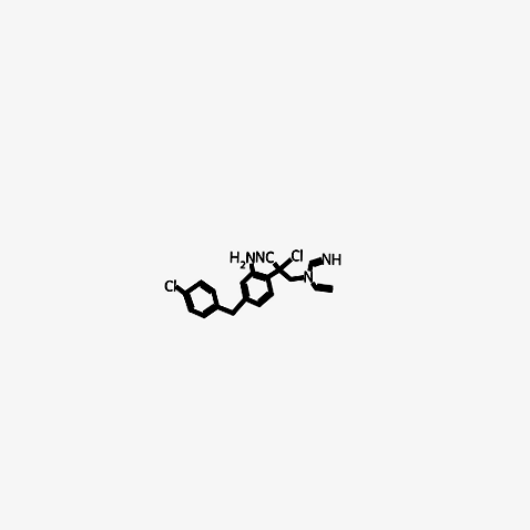 C=CN(C=N)CC(Cl)(C#N)c1ccc(Cc2ccc(Cl)cc2)cc1N